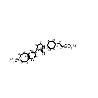 CN1CCc2ncc(N3CCN([C@H]4CC[C@H](CCC(=O)O)CC4)C3=O)nc2CC1